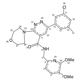 COc1ccc(CNC(=O)c2cc(-c3cc(C)cc(Cl)c3)nnc2N2CCOCC2)nc1OC